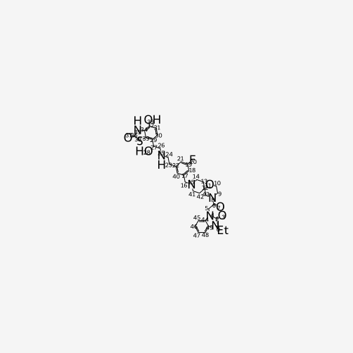 CCn1c(=O)n(CC(=O)N2CCOC3(CCN(Cc4cc(F)cc(CCNC[C@H](O)c5ccc(O)c6[nH]c(=O)sc56)c4)CC3)C2)c2ccccc21